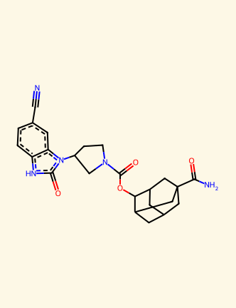 N#Cc1ccc2[nH]c(=O)n(C3CCN(C(=O)OC4C5CC6CC4CC(C(N)=O)(C6)C5)C3)c2c1